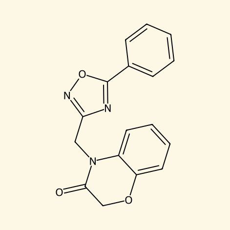 O=C1COc2ccccc2N1Cc1noc(-c2ccccc2)n1